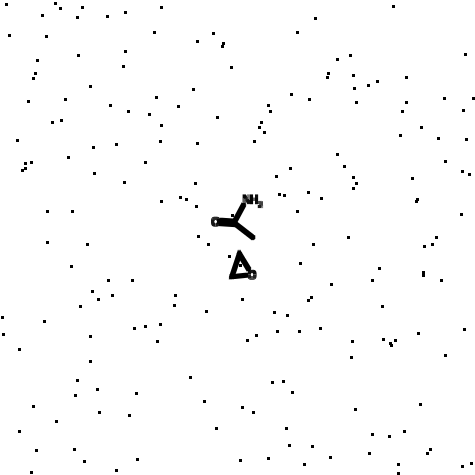 C1CO1.CC(N)=O